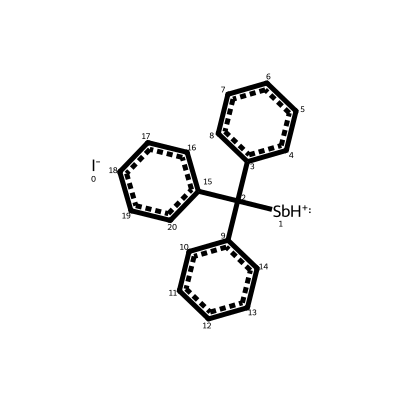 [I-].[SbH+][C](c1ccccc1)(c1ccccc1)c1ccccc1